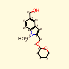 O=C(O)n1c(COC2CCCCO2)cc2cc(CO)ccc21